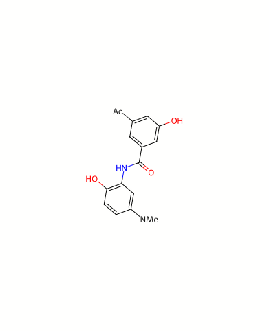 CNc1ccc(O)c(NC(=O)c2cc(O)cc(C(C)=O)c2)c1